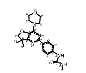 CNC(=O)Nc1ccc(-c2nc(N3CCOCC3)c3c(n2)C(C)(C)CO3)cc1